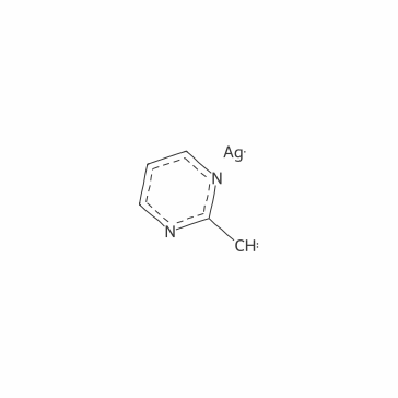 [Ag].[CH]c1ncccn1